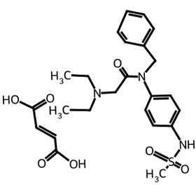 CCN(CC)CC(=O)N(Cc1ccccc1)c1ccc(NS(C)(=O)=O)cc1.O=C(O)C=CC(=O)O